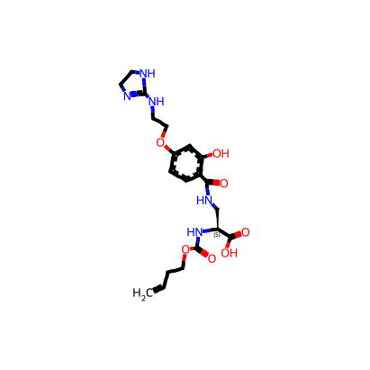 C=CCCOC(=O)N[C@@H](CNC(=O)c1ccc(OCCNC2=NCCN2)cc1O)C(=O)O